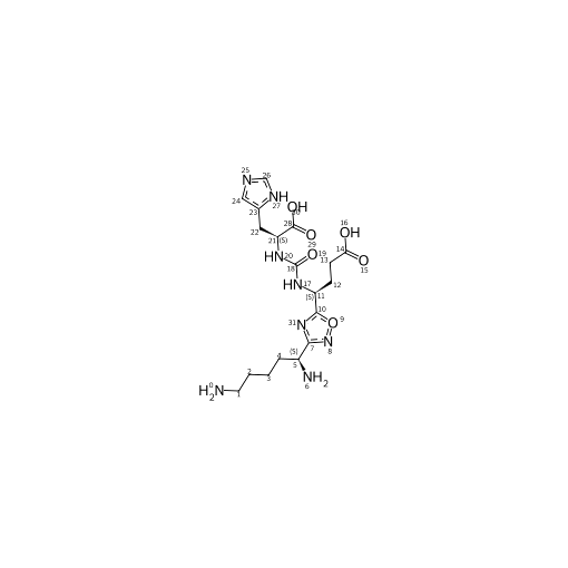 NCCCC[C@H](N)c1noc([C@H](CCC(=O)O)NC(=O)N[C@@H](Cc2cnc[nH]2)C(=O)O)n1